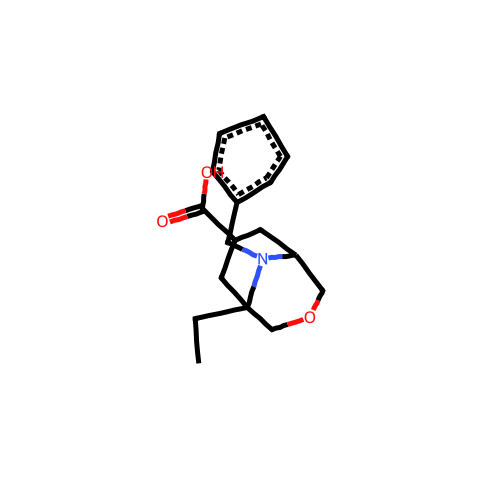 CCC12COCC(CC(C(=O)O)C1)N2Cc1ccccc1